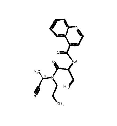 CCCN(C(=O)C(CO)NC(=O)c1ccnc2ccccc12)[C@@H](C)C#N